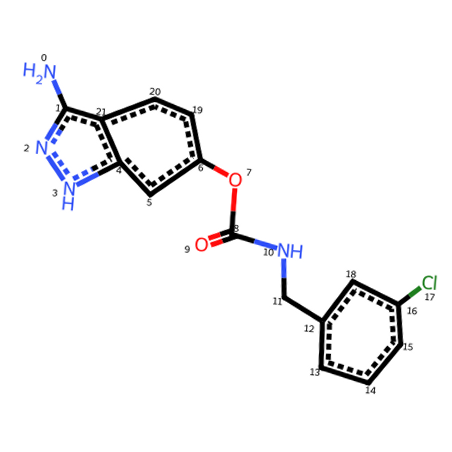 Nc1n[nH]c2cc(OC(=O)NCc3cccc(Cl)c3)ccc12